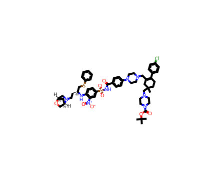 CC1(CN2CCN(C(=O)OC(C)(C)C)CC2)CCC(c2ccc(Cl)cc2)=C(CN2CCN(c3ccc(C(=O)NS(=O)(=O)c4ccc(N[C@H](CCN5C[C@H]6C[C@@H]5CO6)CSc5ccccc5)c([N+](=O)[O-])c4)cc3)CC2)C1